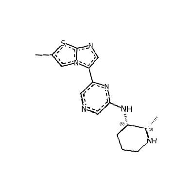 Cc1cn2c(-c3cncc(N[C@H]4CCCN[C@H]4C)n3)cnc2s1